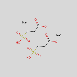 O=C([O-])CCS(=O)(=O)O.O=C([O-])CCS(=O)(=O)O.[Na+].[Na+]